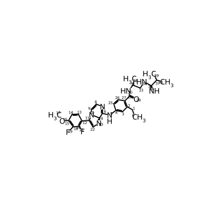 CCc1cc(Nc2nccn3c(-c4ccc(OC)c(F)c4F)cnc23)ccc1C(=O)NC(C)CNC(=N)C(C)C